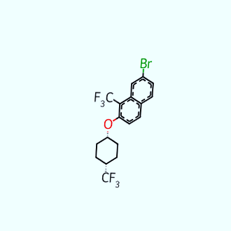 FC(F)(F)c1c(O[C@H]2CC[C@@H](C(F)(F)F)CC2)ccc2ccc(Br)cc12